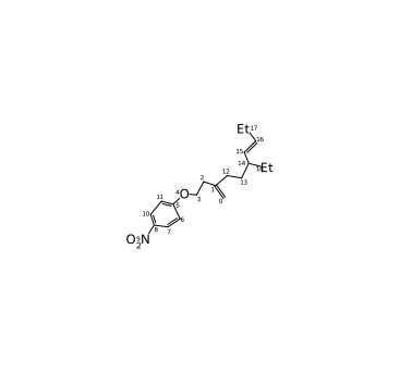 C=C(CCOc1ccc([N+](=O)[O-])cc1)CCC(/C=C/CC)CC